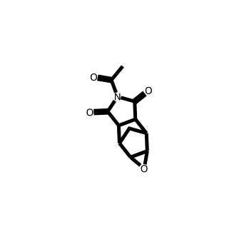 CC(=O)N1C(=O)C2C3CC(C4OC34)C2C1=O